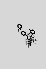 [C-]#[N+]c1c(C(F)(F)C(F)(F)F)cc(-c2ccc(Oc3ccccc3)cc2)n(Cc2ccccc2C)c1=O